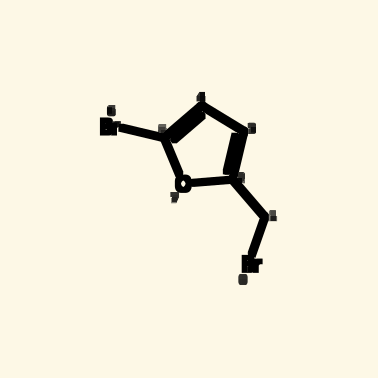 BrCc1ccc(Br)o1